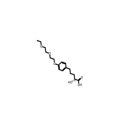 CCOCCOCCOc1ccc(CCC[C@@H](O)C(=O)O)cc1